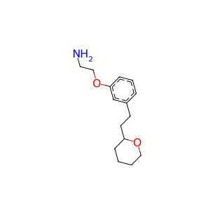 NCCOc1cccc(CCC2CCCCO2)c1